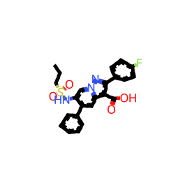 CCCS(=O)(=O)Nc1cn2nc(-c3ccc(F)cc3)c(C(=O)O)c2cc1-c1ccccc1